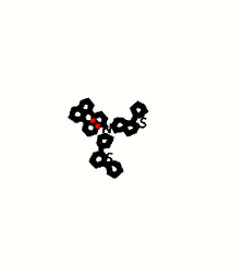 c1ccc(-c2cccc3cccc(-c4ccc(N(c5ccc(-c6cccc7c6sc6ccccc67)cc5)c5ccc6c(ccc7sc8ccccc8c76)c5)cc4)c23)cc1